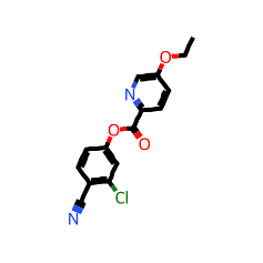 CCOc1ccc(C(=O)Oc2ccc(C#N)c(Cl)c2)nc1